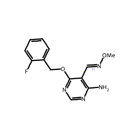 CO/N=C/c1c(N)ncnc1OCc1ccccc1F